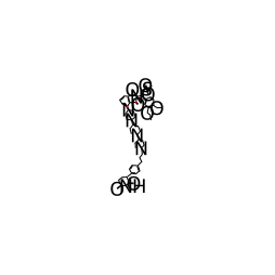 CCOc1cc([C@@H](CS(C)(=O)=O)N2C(=O)c3cccc(N4CCN(C5CCN(C6CCN(CCCc7ccc(C8CCC(=O)NC8=O)cc7)CC6)CC5)CC4)c3C2=O)ccc1OC